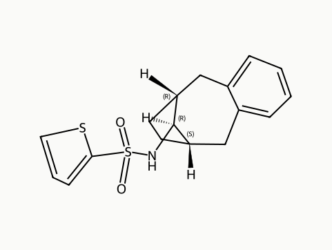 O=S(=O)(N[C@H]1[C@@H]2CC[C@H]1Cc1ccccc1C2)c1cccs1